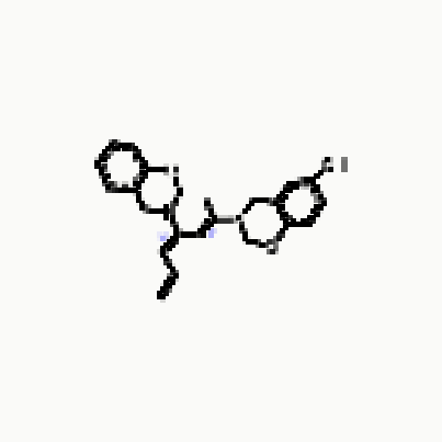 C=C/C=C(\C=C(/C)N1COc2ccc(O)cc2C1)N1COc2ccccc2C1